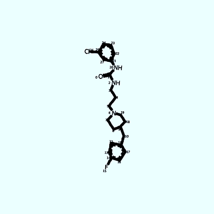 O=C(NCCCN1CCC(Cc2ccc(F)cc2)CC1)Nc1cccc(Cl)c1